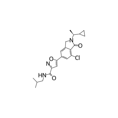 CC(C)CNC(=O)c1cc(-c2cc(Cl)c3c(c2)CN([C@@H](C)C2CC2)C3=O)on1